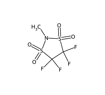 CN1S(=O)(=O)C(F)(F)C(F)(F)S1(=O)=O